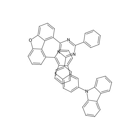 c1ccc(-c2nc(-c3ccccc3)nc(-c3cccc4oc5cccc(-c6cccc7c6sc6ccc(-n8c9ccccc9c9ccccc98)cc67)c5c34)n2)cc1